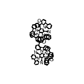 N#Cc1c(-n2c3ccccc3c3ccccc32)c(C#N)c(-n2c3ccccc3c3c(-c4ccc5c(c4)c4ccccc4n5-c4c(C#N)c(-n5c6ccccc6c6ccc7oc8ccccc8c7c65)c(C#N)c(-n5c6ccccc6c6ccccc65)c4-n4c5ccccc5c5ccc6oc7ccccc7c6c54)cccc32)c(-n2c3ccccc3c3ccc4oc5ccccc5c4c32)c1-n1c2ccccc2c2ccccc21